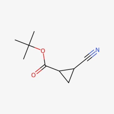 CC(C)(C)OC(=O)C1CC1C#N